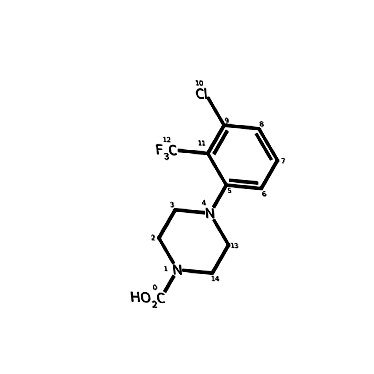 O=C(O)N1CCN(c2cccc(Cl)c2C(F)(F)F)CC1